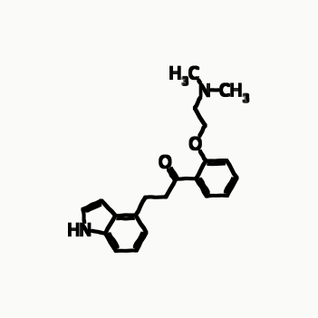 CN(C)CCOc1ccccc1C(=O)CCc1cccc2[nH]ccc12